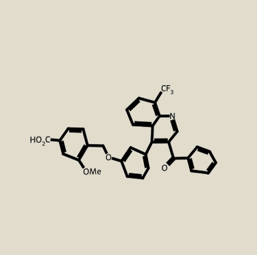 COc1cc(C(=O)O)ccc1COc1cccc(-c2c(C(=O)c3ccccc3)cnc3c(C(F)(F)F)cccc23)c1